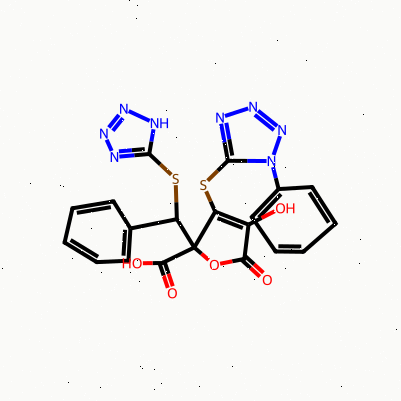 O=C1OC(C(=O)O)(C(Sc2nnn[nH]2)c2ccccc2)C(Sc2nnnn2-c2ccccc2)=C1O